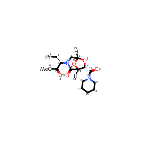 COC(=O)[C@H](CC(C)C)N1C[C@@H]2O[C@H](C(=O)N3CCCCC3)[C@@H](O2)C1=O